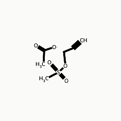 C#CCOS(C)(=O)=O.CC([O])=O